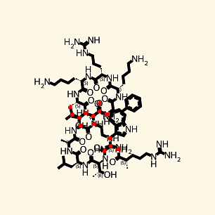 CC(C)C[C@H](NC(=O)[C@H](C)NC(=O)[C@H](CC(C)C)NC(=O)[C@@H](NC(=O)[C@H](Cc1c[nH]c2ccccc12)NC(=O)[C@@H](C)CCCNC(=N)N)[C@@H](C)O)C(=O)N[C@@H](CC(C)O)C(=O)N[C@@H](Cc1ccccc1)C(=O)N[C@@H](CCCCN)C(=O)N[C@@H](CCCNC(=N)N)C(=O)N[C@@H](CCCCN)C(=O)N[C@@H](C)C(=O)N[C@@H](CCCNC(=N)N)C(N)=O